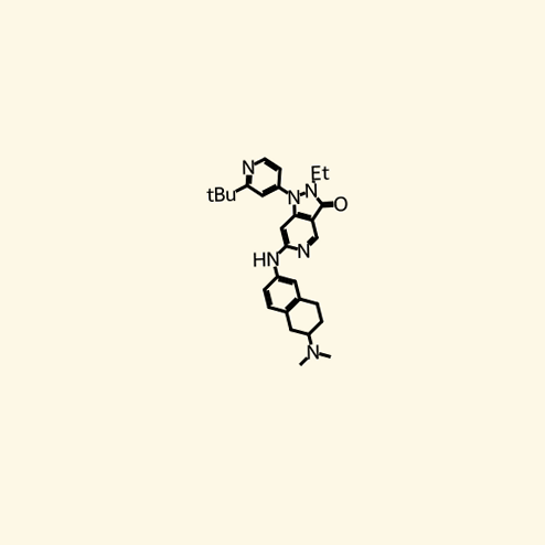 CCn1c(=O)c2cnc(Nc3ccc4c(c3)CCC(N(C)C)C4)cc2n1-c1ccnc(C(C)(C)C)c1